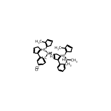 CC1=[C]([Hf+]([C]2=C(c3ccccc3)C=CC2)[SiH](C)C)CC=C1.CC1=[C]([Hf+]([C]2=C(c3ccccc3)C=CC2)[SiH](C)C)CC=C1.[Cl-].[Cl-]